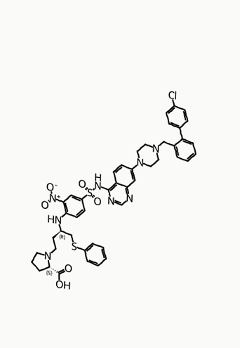 O=C(O)[C@@H]1CCCN1CC[C@H](CSc1ccccc1)Nc1ccc(S(=O)(=O)Nc2ncnc3cc(N4CCN(Cc5ccccc5-c5ccc(Cl)cc5)CC4)ccc23)cc1[N+](=O)[O-]